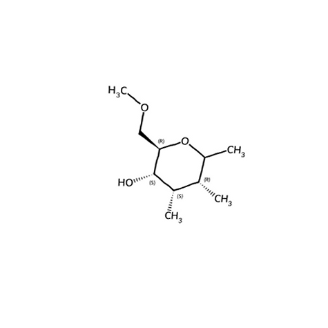 COC[C@H]1OC(C)[C@H](C)[C@H](C)[C@@H]1O